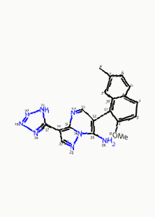 COc1ccc2ccc(C)cc2c1-c1cnc2c(-c3nnn[nH]3)cnn2c1N